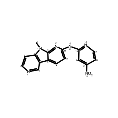 Cn1c2ccncc2c2ccc(Nc3cc([N+](=O)[O-])ccn3)nc21